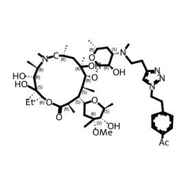 CC[C@H]1OC(=O)[C@H](C)[C@@H](C2C[C@@](C)(OC)[C@@H](O)[C@H](C)O2)[C@H](C)[C@@H](O[C@@H]2O[C@H](C)C[C@H](N(C)CCc3cn(CCc4ccc(C(C)=O)cc4)nn3)[C@H]2O)[C@](C)(O)C[C@@H](C)CN(C)[C@H](C)[C@@H](O)[C@]1(C)O